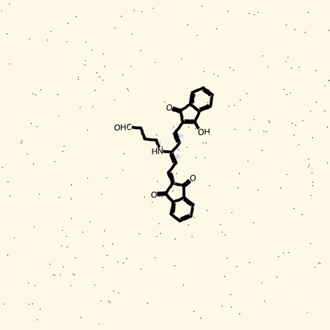 O=CCCCNC(=C\C=C1C(=O)c2ccccc2C1=O)/C=C/C1=C(O)c2ccccc2C1=O